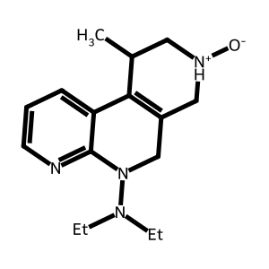 CCN(CC)N1CC2=C(c3cccnc31)C(C)C[NH+]([O-])C2